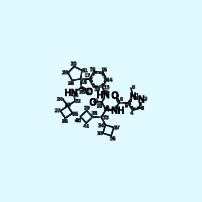 Cn1nccc1C(=O)N[C@H](C(=O)Nc1cccc(C2(C(=O)NCC3(C)CCC3)CCCC2)c1)C(C1CCC1)C1CCC1